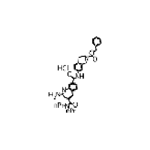 CCCN(CCC)C(=O)C1=Cc2ccc(C(=O)Nc3ccc4c(c3)CN(C(=O)OCc3ccccc3)CC4)cc2N=C(N)C1.Cl